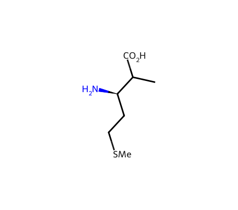 CSCC[C@@H](N)C(C)C(=O)O